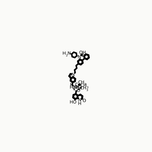 CC(C)(C)[Si](C)(C)O[C@@H](CNCc1ccc2c(ccn2CCCCc2ccc(-c3ccccc3)c(N(C(=O)O)[C@H]3CC[C@H](N)CC3)c2)c1)c1ccc(O)c2[nH]c(=O)ccc12